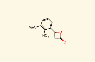 COc1cccc(C2CC(=O)O2)c1[N+](=O)[O-]